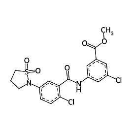 COC(=O)c1cc(Cl)cc(NC(=O)c2cc(N3CCCS3(=O)=O)ccc2Cl)c1